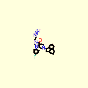 [N-]=[N+]=NCCN1CN(c2ccc(F)cc2)C2(CCN([C@H]3Cc4cccc5cccc3c45)CC2)C1=O